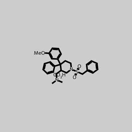 COc1cccc(C2(c3ccccc3C(=O)O)CCN(S(=O)(=O)Cc3ccccc3)CC2CN(C)C)c1